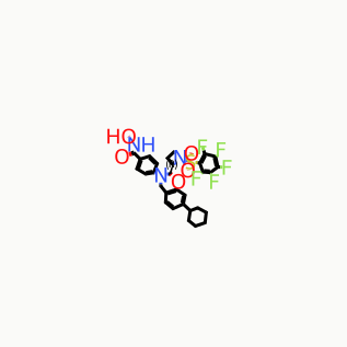 O=C(NO)c1ccc(N(Cc2ccc(C3CCCCC3)cc2)C(=O)[C@H]2CCN2S(=O)(=O)c2c(F)c(F)c(F)c(F)c2F)cc1